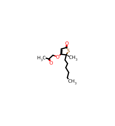 CCCCCC[C@@]1(C)SC(=O)C=C1OCC(C)=O